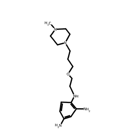 CN1CCN(CCCOCCNc2ccc(N)cc2N)CC1